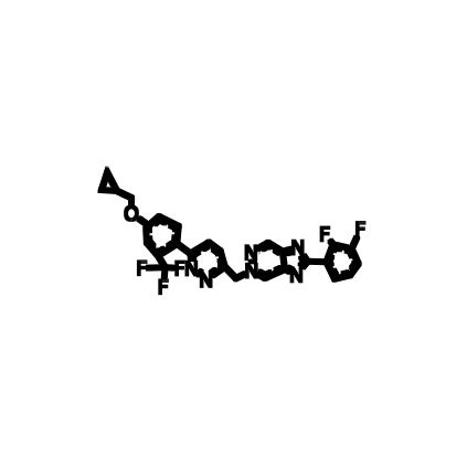 Fc1cccc(-c2nc3cnn(Cc4ccc(-c5ccc(OCC6CC6)cc5C(F)(F)F)nn4)cc-3n2)c1F